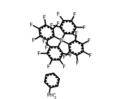 Fc1c(F)c(F)c([B-](c2c(F)c(F)c(F)c(F)c2F)(c2c(F)c(F)c(F)c(F)c2F)c2c(F)c(F)c(F)c(F)c2F)c(F)c1F.[PH3+]c1ccccc1